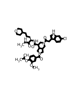 CNC(=O)[C@@H](CCCC1CCOCC1)NC(=O)C1CN(C(=O)Cc2c[nH]c3cc(Cl)ccc23)CC2CN(C(=O)c3ccc(OC(C)C)c(OC)c3)CC21